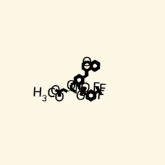 COC(=O)CC[C@H]1CN(S(=O)(=O)c2cccc(C(F)(F)F)c2)c2cc(/C=C3\CCOc4ccccc43)ccc2O1